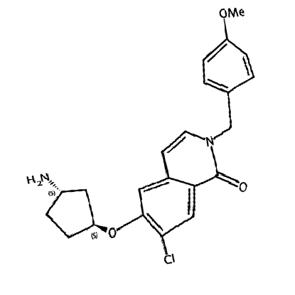 COc1ccc(Cn2ccc3cc(O[C@H]4CC[C@H](N)C4)c(Cl)cc3c2=O)cc1